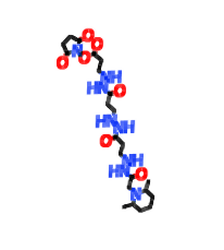 CC1CCCC(C)N1CC(=O)NNCCC(=O)NNCCC(=O)NNCCC(=O)ON1C(=O)CCC1=O